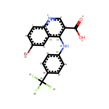 O=C(O)c1cnc2ccc(Br)cc2c1Nc1ccc(C(F)(F)F)cc1